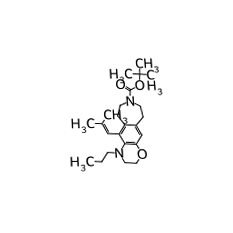 CCCN1CCOc2cc3c(c(C=C(C)C)c21)CCN(C(=O)OC(C)(C)C)CC3